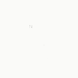 c1ccc(COc2ccc(CN=C3CCCC3)cc2)cc1